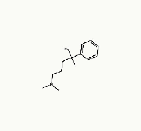 CN(C)CCCC(C)(C#N)c1ccccc1